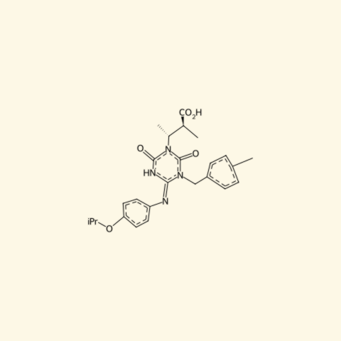 Cc1ccc(Cn2c(=O)n([C@H](C)[C@H](C)C(=O)O)c(=O)[nH]/c2=N\c2ccc(OC(C)C)cc2)cc1